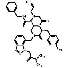 C=CCN1CC(=O)N2C(CN(Cc3cccc4nnn(CC(=O)N(C)C)c34)C(=O)[C@@H]2Cc2ccc(O)cc2)N1C(=O)NCc1ccccc1